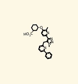 Cc1nc(-c2nnn(C)c2Cc2cccc(-c3ccccc3)n2)ccc1O[C@H]1CCC[C@H](C(=O)O)C1